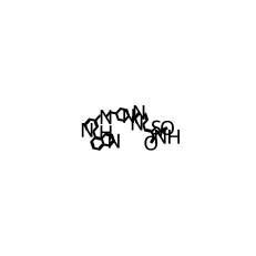 O=C1NC(=O)/C(=C/c2ccnc(N3CCC(CNCc4ccnc(-c5cccc6cnccc56)c4)CC3)n2)S1